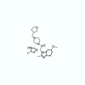 COc1ccc2nc(C)n(CC(=O)N3CCN(CC4CCOC4)C[C@H]3c3ncc(I)[nH]3)c2c1